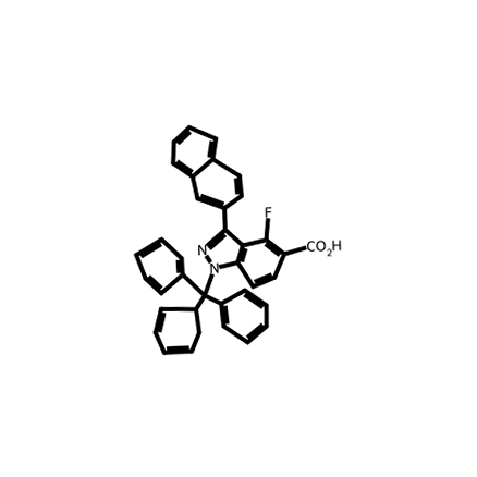 O=C(O)c1ccc2c(c(-c3ccc4ccccc4c3)nn2C(c2ccccc2)(c2ccccc2)C2C=CC=CC2)c1F